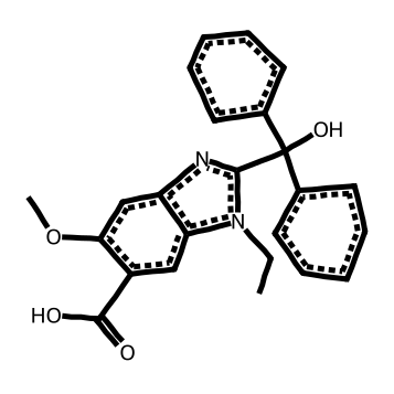 CCn1c(C(O)(c2ccccc2)c2ccccc2)nc2cc(OC)c(C(=O)O)cc21